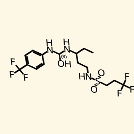 CCC(CCNS(=O)(=O)CCC(F)(F)F)N[C@@H](O)Nc1ccc(C(F)(F)F)cc1